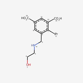 CC(C)c1c(CNCCO)cc(C(=O)O)cc1C(=O)O